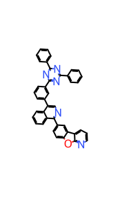 c1ccc(-c2nc(-c3ccccc3)nc(-c3cccc(-c4cnc(-c5ccc6oc7ncccc7c6c5)c5ccccc45)c3)n2)cc1